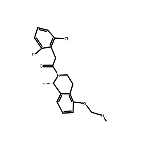 COCSc1cccc2c1CCN(C(=O)Cc1c(Cl)cccc1Cl)[C@H]2C